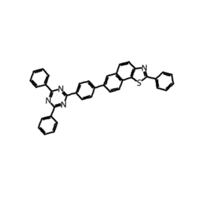 c1ccc(-c2nc(-c3ccccc3)nc(-c3ccc(-c4ccc5c(ccc6nc(-c7ccccc7)sc65)c4)cc3)n2)cc1